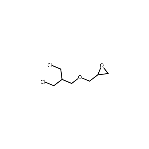 ClCC(CCl)COCC1CO1